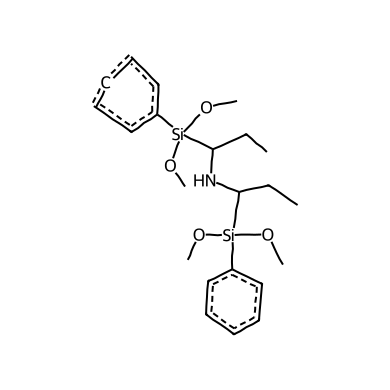 CCC(NC(CC)[Si](OC)(OC)c1ccccc1)[Si](OC)(OC)c1ccccc1